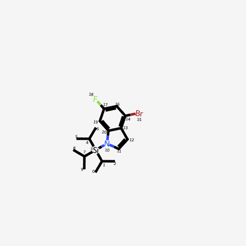 CC(C)[Si](C(C)C)(C(C)C)n1ccc2c(Br)cc(F)cc21